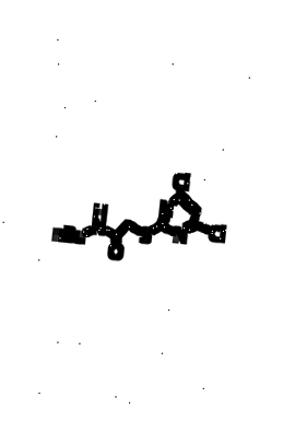 CCCCNC(=O)CSc1nc(Cl)cc(Cl)n1